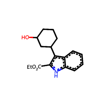 CCOC(=O)c1[nH]c2ccccc2c1C1CCCC(O)C1